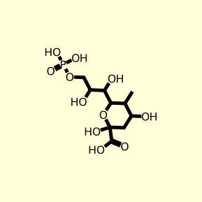 CC1C(O)CC(O)(C(=O)O)OC1C(O)C(O)COP(=O)(O)O